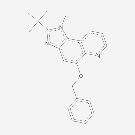 Cn1c(C(C)(C)C)nc2cc(OCc3ccccc3)c3ncccc3c21